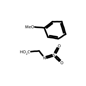 COc1ccccc1.O=C(O)CN=S(=O)=O